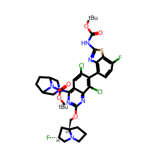 CC(C)(C)OC(=O)Nc1nc2c(-c3c(Cl)cc4c(N5CC6CCC(C5)N6C(=O)OC(C)(C)C)nc(OC[C@@]56CCCN5C[C@H](F)C6)nc4c3Cl)ccc(F)c2s1